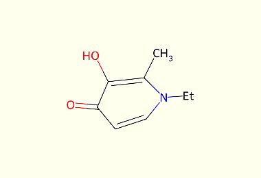 CCn1ccc(=O)c(O)c1C